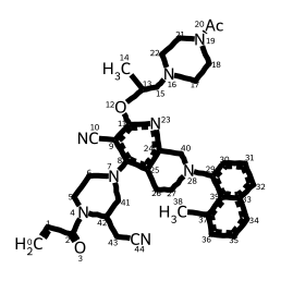 C=CC(=O)N1CCN(c2c(C#N)c(OC(C)CN3CCN(C(C)=O)CC3)nc3c2CCN(c2cccc4cccc(C)c24)C3)CC1CC#N